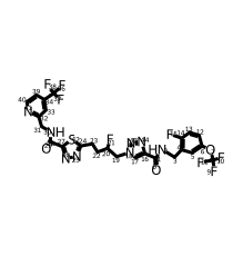 O=C(NCc1cc(OC(F)(F)F)ccc1F)c1cn(CC(F)CCc2nnc(C(=O)NCc3cc(C(F)(F)F)ccn3)s2)nn1